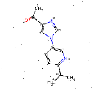 CC(=O)c1cn(-c2ccc(C(C)C)nc2)cn1